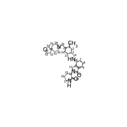 Cc1cc(CNc2cccc3c2CN(C2CCCNC2=O)C3=O)ccc1CN1CCC2(CCOC2)CC1